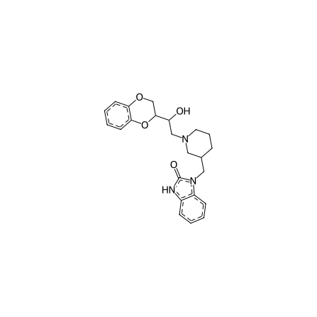 O=c1[nH]c2ccccc2n1CC1CCCN(CC(O)C2COc3ccccc3O2)C1